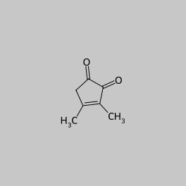 CC1=C(C)C(=O)C(=O)C1